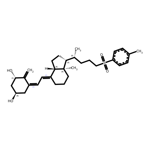 C=C1/C(=C\C=C2/CCC[C@]3(C)[C@@H]([C@H](C)CCCS(=O)(=O)c4ccc(C)cc4)CC[C@@H]23)C[C@@H](O)C[C@@H]1O